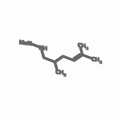 CNNCC(C)CC=C(C)C